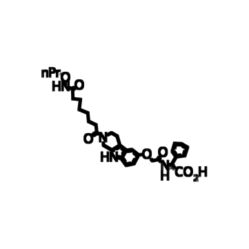 CCCONC(=O)CCCCCCC(=O)N1CCc2c([nH]c3ccc(OCC(=O)N[C@H](C(=O)O)c4ccccc4)cc23)C1